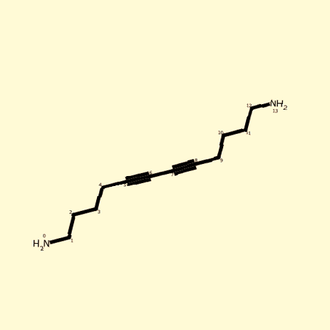 NCCCCC#CC#CCCCCN